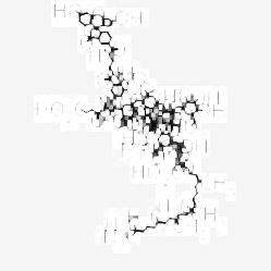 C=C(C/C=C(\C)CCC=C(C)C)CCC(C)(C)/C=C/CC/C(C)=C\CO[C@H](CO[PH](O)(O)OC1OC(C(N)=O)C(C)C(OC(N)=O)C1OC1OC(OC2OC(CO)C(O)C(O)C2O)C(OC2OC(C)C(OC3OC(c4nc(C(=O)CCC(=O)O)nn4-c4ccc([N+](=O)[O-])c(C(=O)NCCNC(=O)c5ccc6c(c5)C(=O)OC65c6ccc(O)cc6Oc6cc(O)ccc65)c4)C(O)C(O)C3O)C(O)C2C)C(O)C1NC(C)=O)C(=O)O